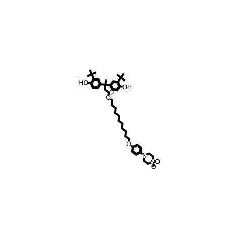 CC(C)(C)c1cc(C(C)(CC(=O)OCCCCCCCCCCCOc2ccc(N3CCS(=O)(=O)CC3)cc2)c2ccc(O)c(C(C)(C)C)c2)ccc1O